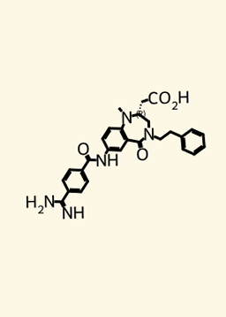 CN1c2ccc(NC(=O)c3ccc(C(=N)N)cc3)cc2C(=O)N(CCc2ccccc2)C[C@H]1CC(=O)O